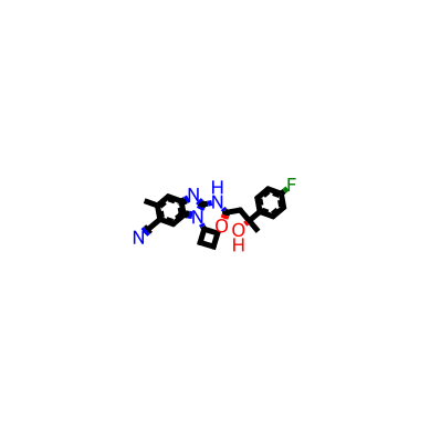 Cc1cc2nc(NC(=O)CC(C)(O)c3ccc(F)cc3)n(C3CCC3)c2cc1C#N